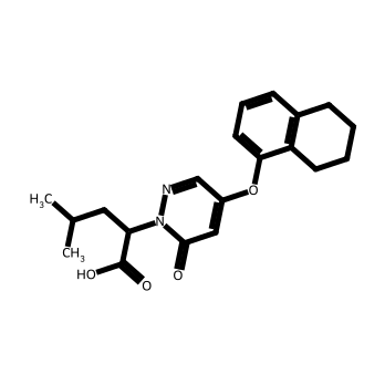 CC(C)CC(C(=O)O)n1ncc(Oc2cccc3c2CCCC3)cc1=O